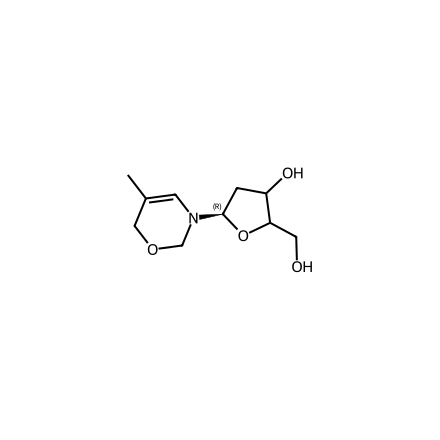 CC1=CN([C@H]2CC(O)C(CO)O2)COC1